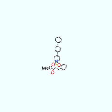 COC(=O)C(Cc1ccccc1)S(=O)(=O)N1CC=C(c2ccc(-c3ccccc3)cc2)CC1